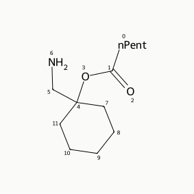 CCCCCC(=O)OC1(CN)CCCCC1